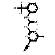 Cc1cc(C#N)nc(NC(=N)Nc2ccccc2C(F)(F)F)n1